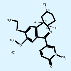 CCOc1cc2c(cc1OC)C(c1ccc(=O)n(C)c1)=N[C@@H]1CC[C@@H](O)C[C@H]21.Cl